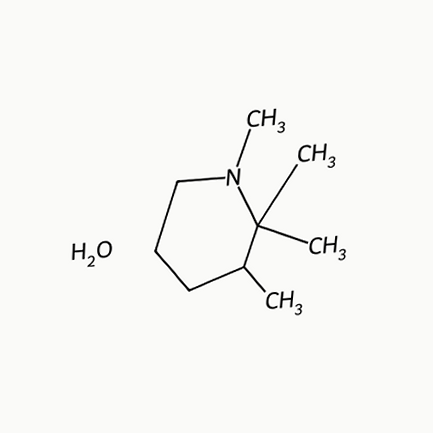 CC1CCCN(C)C1(C)C.O